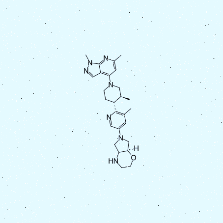 Cc1cc(N2CC[C@@H](c3ncc(N4CC5NCCO[C@@H]5C4)cc3C)[C@H](C)C2)c2cnn(C)c2n1